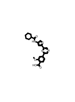 COc1cc(-c2cncc(-c3cc(NC(=O)C4CCCCC4)cs3)n2)ccc1C(=O)O